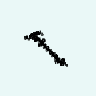 CO[Si](CCCCC(=O)NCCOCCOCCOCCNC(C)=O)(OC)OC